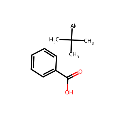 C[C](C)(C)[Al].O=C(O)c1ccccc1